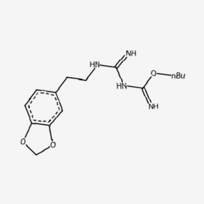 CCCCOC(=N)NC(=N)NCCc1ccc2c(c1)OCO2